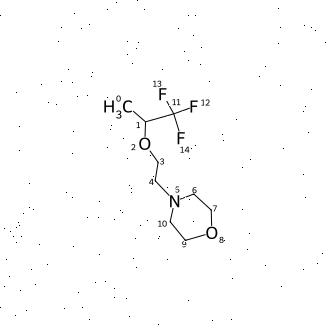 CC(OCCN1CCOCC1)C(F)(F)F